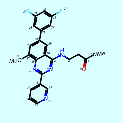 CNC(=O)CCNc1nc(-c2cccnc2)nc2c(OC)cc(-c3cc(F)cc(F)c3)cc12